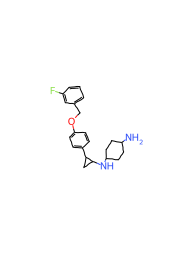 NC1CCC(NC2CC2c2ccc(OCc3cccc(F)c3)cc2)CC1